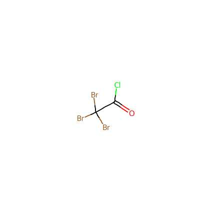 O=C(Cl)C(Br)(Br)Br